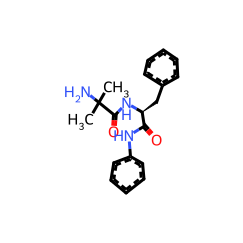 CC(C)(N)C(=O)N[C@@H](Cc1ccccc1)C(=O)Nc1ccccc1